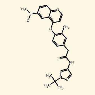 Cc1cc(CC(=O)Nc2cnn(C(C)(C)C)c2)ccc1Oc1ccnc2ccc([S+](C)[O-])cc12